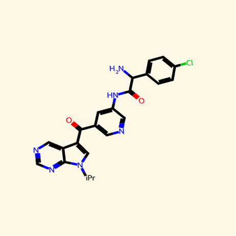 CC(C)n1cc(C(=O)c2cncc(NC(=O)C(N)c3ccc(Cl)cc3)c2)c2cncnc21